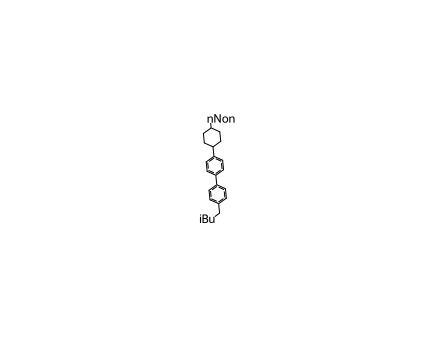 CCCCCCCCCC1CCC(c2ccc(-c3ccc(CC(C)CC)cc3)cc2)CC1